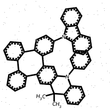 CC1(C)c2ccccc2N(c2ccccc2)c2cc3c(cc21)-c1ccccc1-c1ccccc1-c1ccc(-n2c4ccccc4c4ccccc42)cc1-3